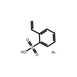 C=Cc1ccccc1S(=O)(=O)O.[Pr]